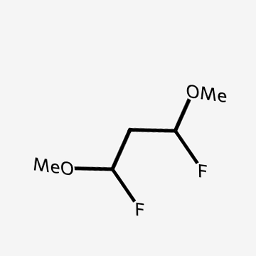 COC(F)CC(F)OC